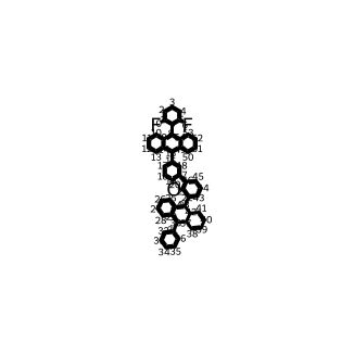 Fc1cccc(F)c1-c1c2ccccc2c(-c2ccc3oc4c(C5=c6ccccc6=C(c6ccccc6)C6C=CC=CC56)cccc4c3c2)c2ccccc12